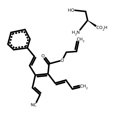 C=CC=CC(C(=O)OCC=C)=C(C=CC#N)C=Cc1ccccc1.N[C@@H](CO)C(=O)O